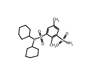 Cc1cc(S(N)(=O)=O)c(C)c(S(=O)(=O)N(C2CCCCC2)C2CCCCC2)c1